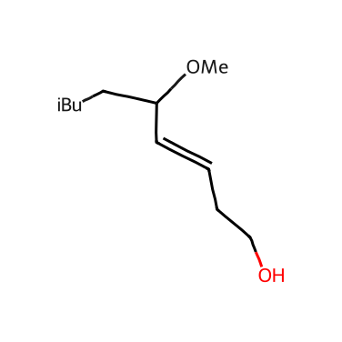 CCC(C)CC(C=CCCO)OC